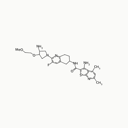 COCCOC1CN(c2nc3c(cc2F)CC(NC(=O)c2sc4nc(C)cc(C)c4c2N)CC3)CC1N